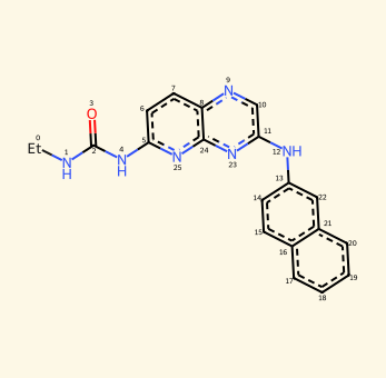 CCNC(=O)Nc1ccc2ncc(Nc3ccc4ccccc4c3)nc2n1